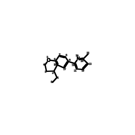 CCC1CCOc2ccc(-c3cccc(C)n3)cc21